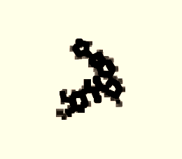 CCc1cc(NC(=O)C(=O)N2C[C@@H](C)CC[C@@H]2c2ccc3cn(C4CCOC4)nc3c2)cnc1N